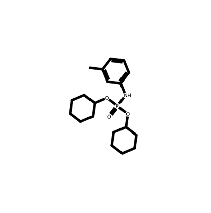 Cc1cccc(NP(=O)(OC2CCCCC2)OC2CCCCC2)c1